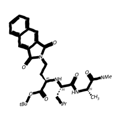 CNC(=O)[C@H](C)NC(=O)[C@H](CC(C)C)N[C@H](CCN1C(=O)c2cc3ccccc3cc2C1=O)C(=O)OC(C)(C)C